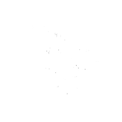 CCc1cccc(CC)c1NC(=O)c1c2n(c3c(c1=O)CCC3)CCCC2